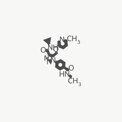 CCNC(=O)c1ccc(-n2nnc(C(=O)NC3CC3)c2COc2ccc(C)nc2)cc1